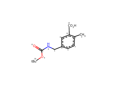 Cc1ccc(CNC(=O)OC(C)(C)C)cc1C(=O)O